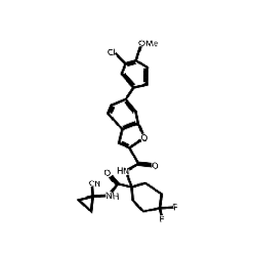 COc1ccc(-c2ccc3cc(C(=O)NC4(C(=O)NC5(C#N)CC5)CCC(F)(F)CC4)oc3c2)cc1Cl